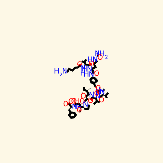 CC[C@H](C)[C@@H]([C@@H](CC(=O)N1CCC[C@H]1[C@H](OC)[C@@H](C)C(=O)N[C@@H](Cc1ccccc1)C(=O)O)OC)N(C)C(=O)[C@@H](NC(=O)[C@H](C(C)C)N(C)C(=O)OCc1ccc(NC(=O)C(CCCNC(N)=O)NC(=O)[C@@H](NC(=O)CCCCCN)C(C)C)cc1)C(C)C